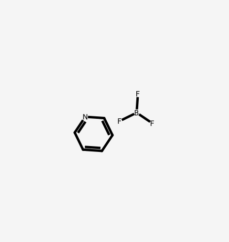 FB(F)F.c1ccncc1